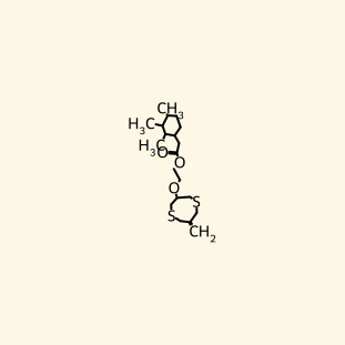 C=C1CSCC(OCCOC(=O)CC2CCC(C)C(C)C2C)CSC1